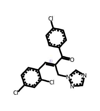 O=C(/C(=C/c1ccc(Cl)cc1Cl)Cn1cncn1)c1ccc(Cl)cc1